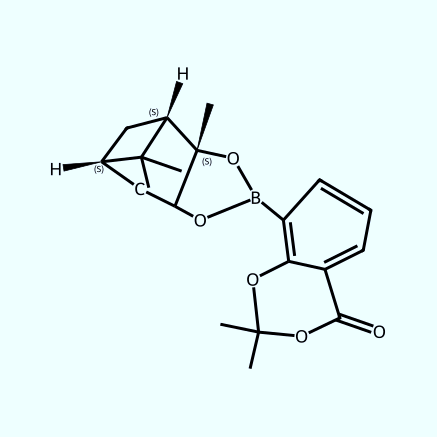 CC1(C)OC(=O)c2cccc(B3OC4C[C@@H]5C[C@@H](C5(C)C)[C@]4(C)O3)c2O1